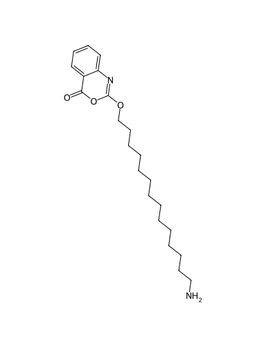 NCCCCCCCCCCCCCCOc1nc2ccccc2c(=O)o1